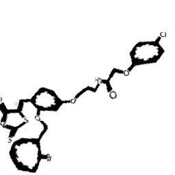 O=C(COc1ccc(Cl)cc1)NCCOc1ccc(/C=C2\SC(=S)NC2=O)c(OCc2ccccc2Br)c1